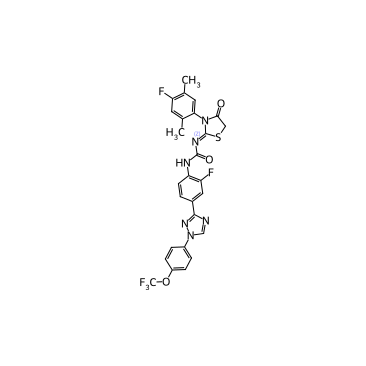 Cc1cc(N2C(=O)CS/C2=N\C(=O)Nc2ccc(-c3ncn(-c4ccc(OC(F)(F)F)cc4)n3)cc2F)c(C)cc1F